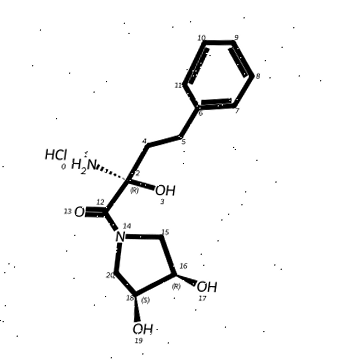 Cl.N[C@@](O)(CCc1ccccc1)C(=O)N1C[C@@H](O)[C@@H](O)C1